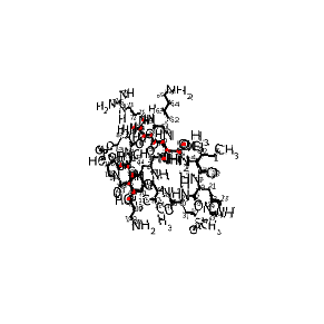 CC[C@H](C)[C@H](NC(=O)[C@@H](N)CCCNC(=N)N)C(=O)N[C@@H](Cc1c[nH]cn1)C(=O)N[C@@H](CC[S+](C)[O-])C(=O)N[C@H](C(=O)N[C@@H](Cc1ccc(O)cc1)C(=O)N[C@@H](CO)C(=O)N[C@@H](CCCCN)C(=O)N[C@@H](CCCNC(=N)N)C(=O)N[C@@H](CCOP(=O)(O)O)C(=O)NCC(=O)N[C@@H](CCCCN)C(=O)N1CCC[C@H]1C(=O)NC)C(C)C